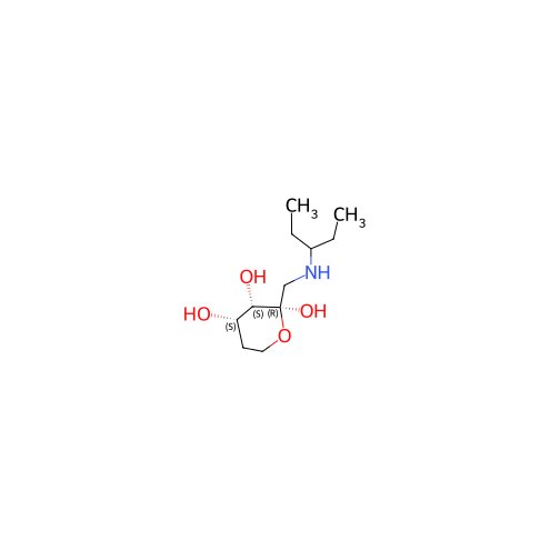 CCC(CC)NC[C@@]1(O)OCC[C@H](O)[C@@H]1O